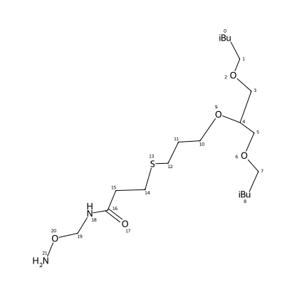 CCC(C)COCC(COCC(C)CC)OCCCSCCC(=O)NCON